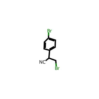 N#CC(CBr)c1ccc(Br)cc1